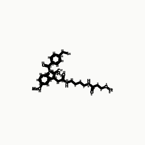 CCOCCC(=O)NCCCCNC(=O)Cc1c(C)n(C(=O)c2ccc(CI)cc2)c2ccc(OC)cc12